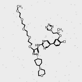 COCCOCCOCCOCCOc1nn([C@H]2CC[C@H](N3CCOCC3)CC2)cc1Nc1ncc(-c2ccc(Cl)c(O[C@@H](C)Cn3cnnn3)c2)cn1